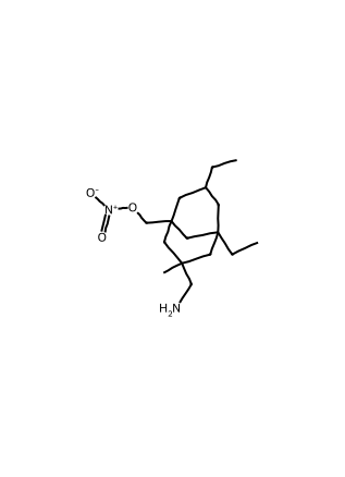 CCC1CC2(CC)CC(C)(CN)CC(CO[N+](=O)[O-])(C1)C2